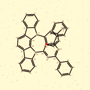 Nc1cccc(-n2c3ccccc3c3ccc4c5ccccc5n(-c5nc(-c6ccccc6)nc(-c6ccccc6)n5)c4c32)c1